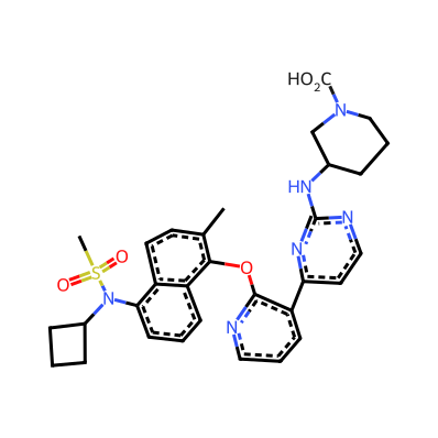 Cc1ccc2c(N(C3CCC3)S(C)(=O)=O)cccc2c1Oc1ncccc1-c1ccnc(NC2CCCN(C(=O)O)C2)n1